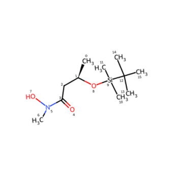 C[C@H](CC(=O)N(C)O)O[Si](C)(C)C(C)(C)C